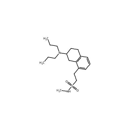 CCCN(CCC)C1CCc2cccc(CCS(=O)(=O)NC)c2C1